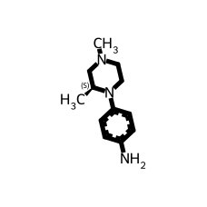 C[C@H]1CN(C)CCN1c1ccc(N)cc1